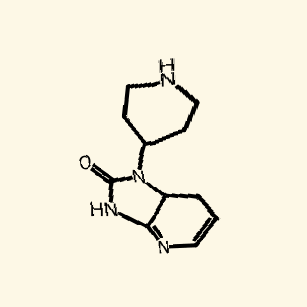 O=C1NC2=NC=CCC2N1C1CCNCC1